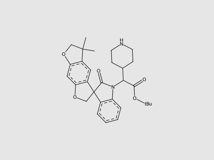 CC(C)(C)OC(=O)C(C1CCNCC1)N1C(=O)C2(COc3cc4c(cc32)C(C)(C)CO4)c2ccccc21